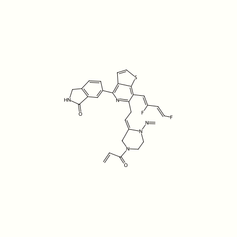 C=CC(=O)N1CCN(N=C)/C(=C\Cc2nc(-c3ccc4c(c3)C(=O)NC4)c3ccsc3c2/C=C(F)/C=C/F)C1